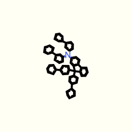 c1ccc(-c2ccc(C3(c4ccc(-c5ccccc5)cc4)c4ccccc4-c4ccc(N(c5cccc(-c6ccccc6)c5)c5cccc(-c6ccccc6)c5)cc43)cc2)cc1